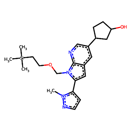 Cn1nccc1-c1cc2cc(C3CCC(O)C3)cnc2n1COCC[Si](C)(C)C